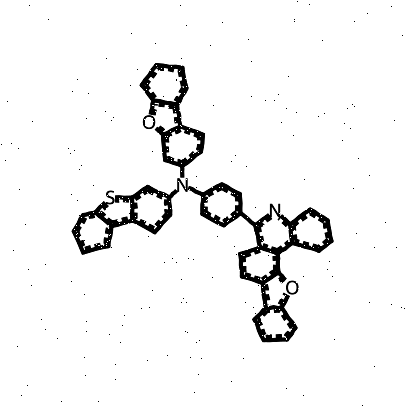 c1ccc2c(c1)nc(-c1ccc(N(c3ccc4c(c3)oc3ccccc34)c3ccc4c(c3)sc3ccccc34)cc1)c1ccc3c4ccccc4oc3c12